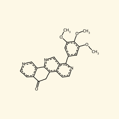 COc1cc(-c2nccc3c4c(ncc23)-c2cnccc2C(=O)C4)cc(OC)c1OC